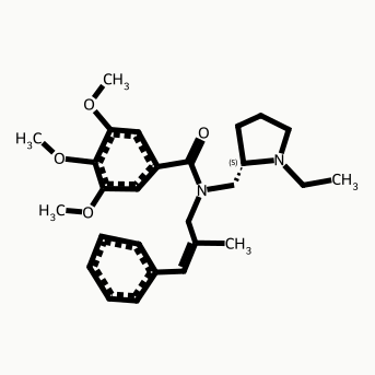 CCN1CCC[C@H]1CN(CC(C)=Cc1ccccc1)C(=O)c1cc(OC)c(OC)c(OC)c1